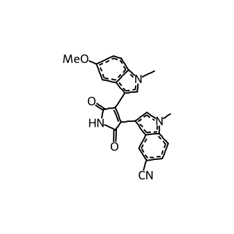 COc1ccc2c(c1)c(C1=C(c3cn(C)c4ccc(C#N)cc34)C(=O)NC1=O)cn2C